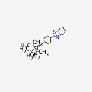 CC(C)[Si](C#Cc1ccc(-c2nc3ccccc3s2)cc1)(C(C)C)C(C)C